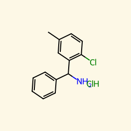 Cc1ccc(Cl)c(C(N)c2ccccc2)c1.Cl